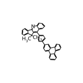 CC1(C)c2ccccc2-c2nc3ccccc3c(-c3ccc(-c4ccc5c6ccccc6c6ccccc6c5c4)cc3)c21